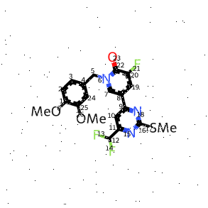 COc1ccc(Cn2cc(-c3cc(C(F)F)nc(SC)n3)cc(F)c2=O)cc1OC